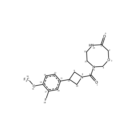 O=C1COCN(C(=O)N2CC(c3ccc(OC(F)(F)F)c(F)c3)C2)CCN1